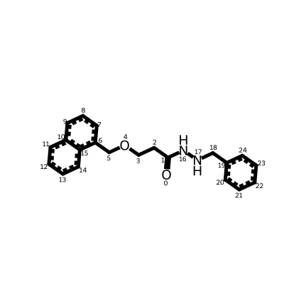 O=C(CCOCc1cccc2ccccc12)NNCc1ccccc1